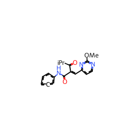 COc1nccc(C=C(C(=O)Nc2ccccc2)C(=O)C(C)C)n1